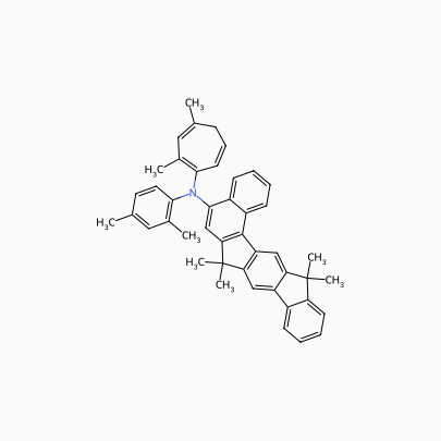 CC1=CC(C)=C(N(c2ccc(C)cc2C)c2cc3c(c4ccccc24)-c2cc4c(cc2C3(C)C)-c2ccccc2C4(C)C)C=CC1